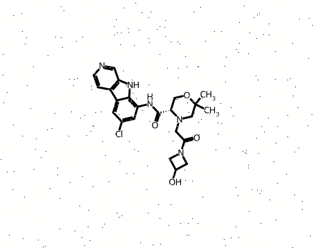 CC1(C)CN(CC(=O)N2CC(O)C2)[C@H](C(=O)Nc2cc(Cl)cc3c2[nH]c2cnccc23)CO1